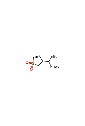 CCCCCCC(CCCC)C1C=CS(=O)(=O)C1